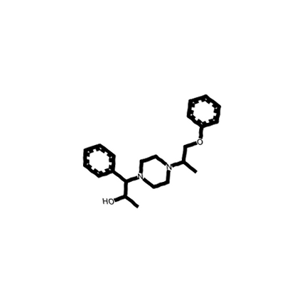 CC(O)C(c1ccccc1)N1CCN(C(C)COc2ccccc2)CC1